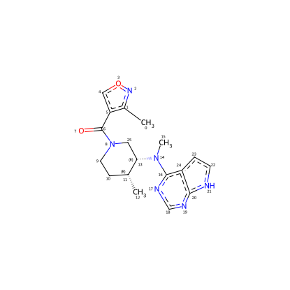 Cc1nocc1C(=O)N1CC[C@@H](C)[C@@H](N(C)c2ncnc3[nH]ccc23)C1